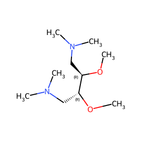 CO[C@H](CN(C)C)[C@@H](CN(C)C)OC